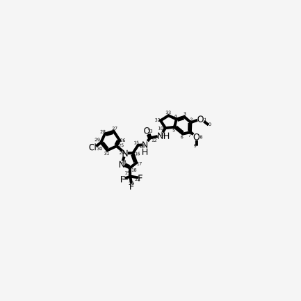 COc1cc2c(cc1OC)C(NC(=O)NCc1cc(C(F)(F)F)nn1-c1cccc(Cl)c1)CC2